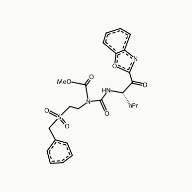 CCC[C@H](NC(=O)N(CCS(=O)(=O)Cc1ccccc1)C(=O)OC)C(=O)c1nc2ccccc2o1